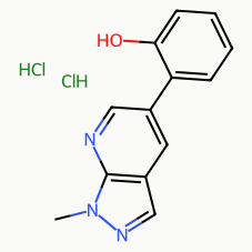 Cl.Cl.Cn1ncc2cc(-c3ccccc3O)cnc21